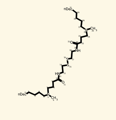 CCCCCCCCCCCCCCN(C)CCCC(=O)NCCSSCCNC(=O)CCCN(C)CCCCCCCCCCCCCC